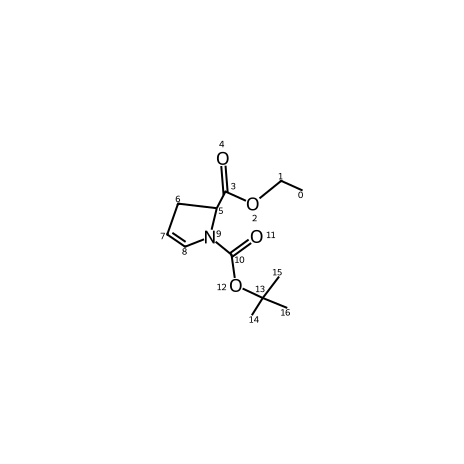 CCOC(=O)C1CC=CN1C(=O)OC(C)(C)C